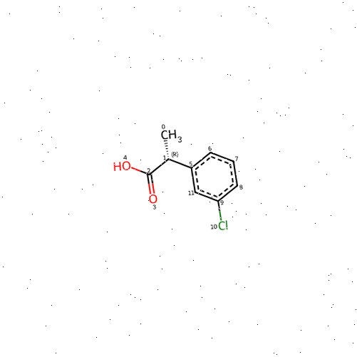 C[C@@H](C(=O)O)c1cccc(Cl)c1